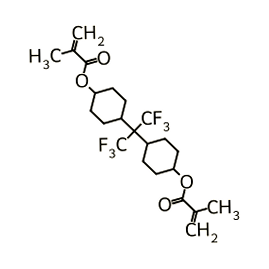 C=C(C)C(=O)OC1CCC(C(C2CCC(OC(=O)C(=C)C)CC2)(C(F)(F)F)C(F)(F)F)CC1